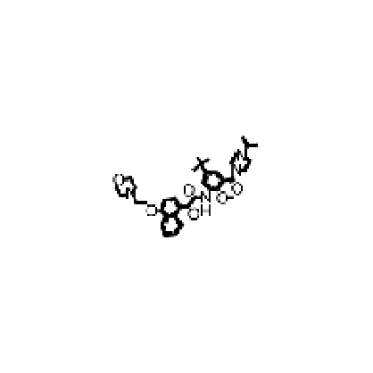 COc1c(NC(=O)C(=O)c2ccc(OCCN3CCOCC3)c3ccccc23)cc(C(C)(C)C)cc1C(=O)N1CCN(C(C)C)CC1